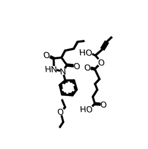 CC#CC(O)OC(=O)CCCCC(=O)O.CCCCC1C(=O)NN(c2ccccc2)C1=O.CCOCC